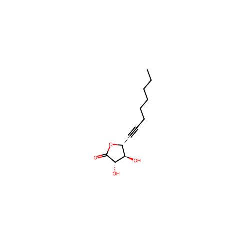 CCCCCCC#C[C@H]1OC(=O)[C@@H](O)[C@@H]1O